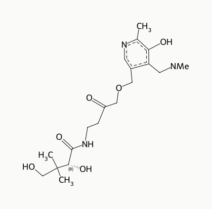 CNCc1c(COCC(=O)CCNC(=O)[C@H](O)C(C)(C)CO)cnc(C)c1O